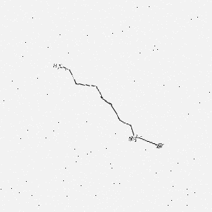 CCCCCCC[CH2][Mg-2][Br]